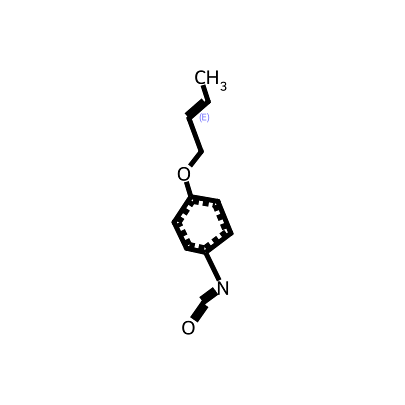 C/C=C/COc1ccc(N=C=O)cc1